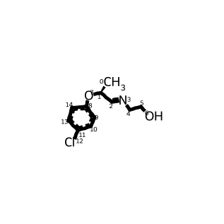 C[C@@H](C=NCCO)Oc1ccc(Cl)cc1